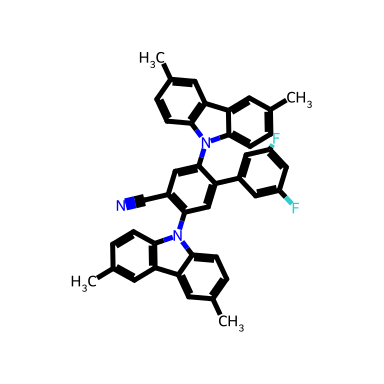 Cc1ccc2c(c1)c1cc(C)ccc1n2-c1cc(-c2cc(F)cc(F)c2)c(-n2c3ccc(C)cc3c3cc(C)ccc32)cc1C#N